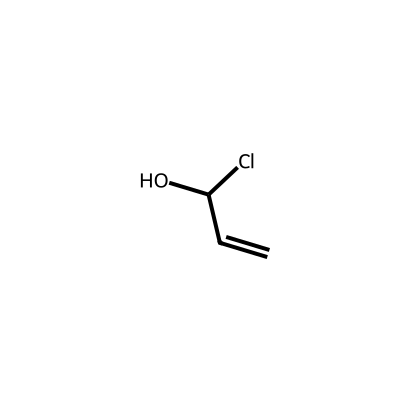 C=CC(O)Cl